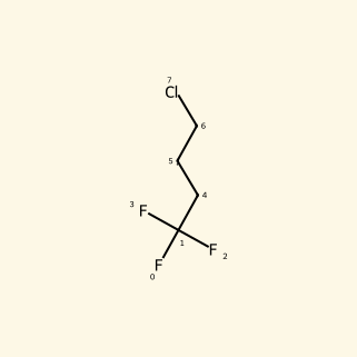 FC(F)(F)C[CH]CCl